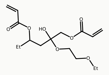 C=CC(=O)OCC(O)(CC(CC)OC(=O)C=C)OCCOCC